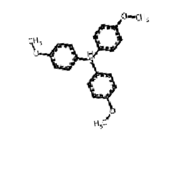 COc1ccc([SH](c2ccc(OC)cc2)c2ccc(OC)cc2)cc1